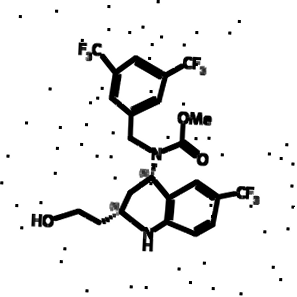 COC(=O)N(Cc1cc(C(F)(F)F)cc(C(F)(F)F)c1)[C@H]1C[C@@H](CCO)Nc2ccc(C(F)(F)F)cc21